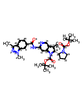 Cc1nn(C)c2cc(C(=O)Nc3cc4c(cn3)c(C)c([C@H]3CCCN3C(=O)OC(C)(C)C)n4C(=O)OC(C)(C)C)ccc12